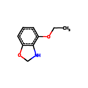 CCOc1cccc2c1NCO2